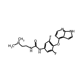 CN(C)CCNC(=O)Nc1cc(F)c(Oc2ccnc3[nH]ccc23)c(F)c1